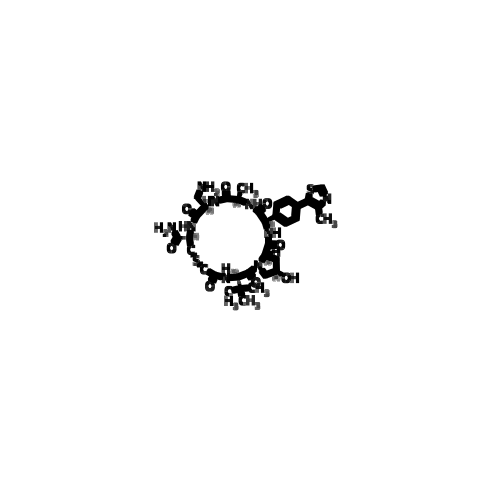 Cc1ncsc1-c1ccc([C@H]2NC(=O)[C@@H]3C[C@@H](O)CN3C(=O)[C@H](C(C)(C)C)NC(=O)CSC[C@H](C(N)=O)NC(=O)[C@@H](CN)NC(=O)[C@@H](C)NC2=O)cc1